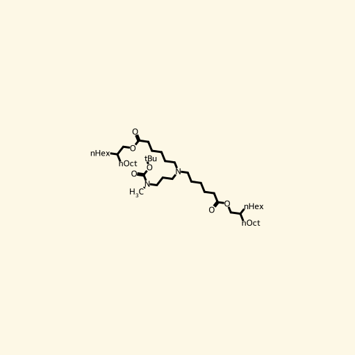 CCCCCCCCC(CCCCCC)COC(=O)CCCCCN(CCCCCC(=O)OCC(CCCCCC)CCCCCCCC)CCCN(C)C(=O)OC(C)(C)C